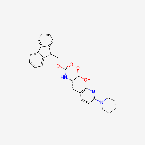 O=C(N[C@@H](Cc1ccc(N2CCCCC2)nc1)C(=O)O)OCC1c2ccccc2-c2ccccc21